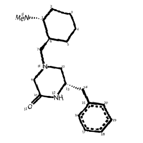 CN[C@@H]1CCCC[C@H]1CN1CC(=O)N[C@@H](Cc2ccccc2)C1